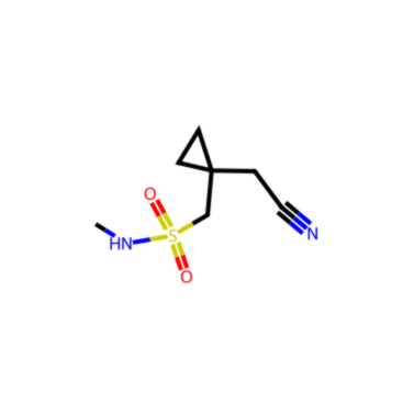 CNS(=O)(=O)CC1(CC#N)CC1